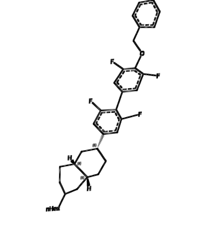 CCCCCCC1CC[C@@H]2C[C@H](c3cc(F)c(-c4cc(F)c(OCc5ccccc5)c(F)c4)c(F)c3)CC[C@@H]2C1